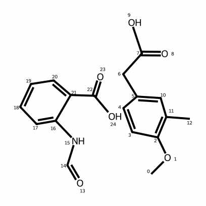 COc1ccc(CC(=O)O)cc1C.O=CNc1ccccc1C(=O)O